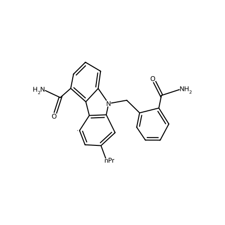 CCCc1c[c]c2c3c(C(N)=O)cccc3n(Cc3ccccc3C(N)=O)c2c1